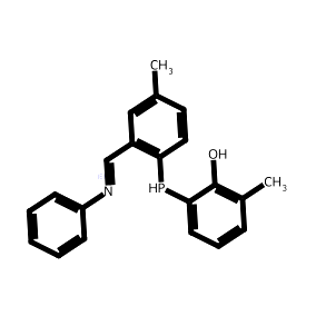 Cc1ccc(Pc2cccc(C)c2O)c(/C=N/c2ccccc2)c1